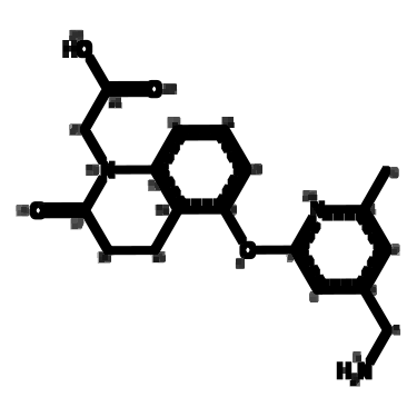 Cc1cc(CN)cc(Oc2cccc3c2CCC(=O)N3CC(=O)O)n1